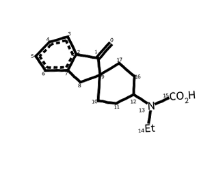 C=C1c2ccccc2CC12CCC(N(CC)C(=O)O)CC2